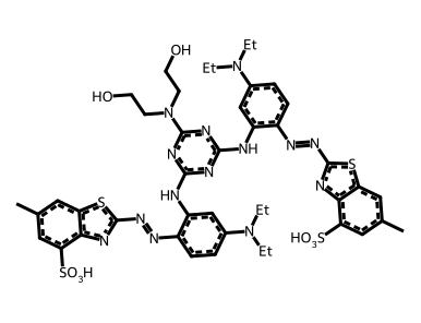 CCN(CC)c1ccc(/N=N/c2nc3c(S(=O)(=O)O)cc(C)cc3s2)c(Nc2nc(Nc3cc(N(CC)CC)ccc3/N=N/c3nc4c(S(=O)(=O)O)cc(C)cc4s3)nc(N(CCO)CCO)n2)c1